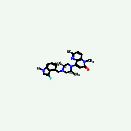 CCn1cc(F)c2c(CN3C[C@H](C)N(c4cc(=O)n(C)c5ccc(C#N)nc45)C[C@H]3C)cccc21